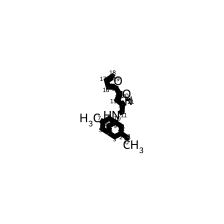 CCC1CC2CC(C)CC(NCc3cc(-c4ccco4)on3)(C1)C2